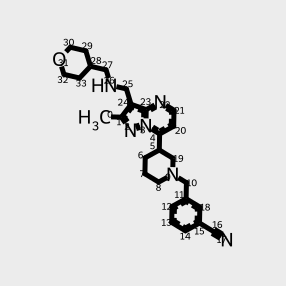 Cc1nn2c(C3CCCN(Cc4cccc(C#N)c4)C3)ccnc2c1CNCC1CCOCC1